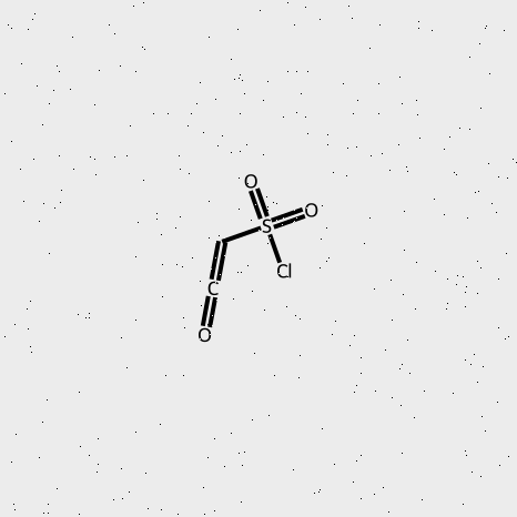 O=C=CS(=O)(=O)Cl